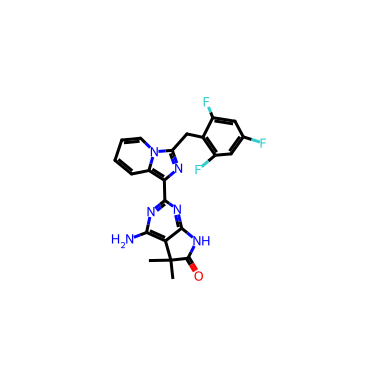 CC1(C)C(=O)Nc2nc(-c3nc(Cc4c(F)cc(F)cc4F)n4ccccc34)nc(N)c21